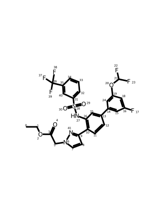 CCOC(=O)Cn1ccc(-c2ccc(-c3cc(F)cc(OC(F)F)c3)cc2NS(=O)(=O)c2cccc(C(F)(F)F)c2)n1